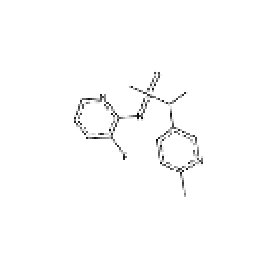 Cc1ccc(C(C)S(C)(=O)=Nc2ncccc2F)cn1